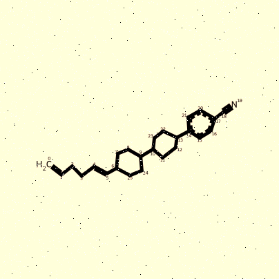 C=CCCC=CC1CCC(C2CCC(c3ccc(C#N)cc3)CC2)CC1